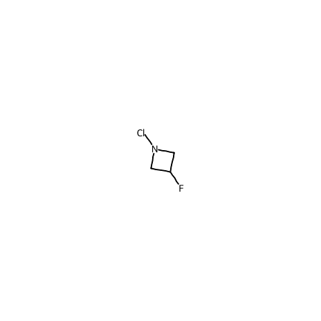 FC1CN(Cl)C1